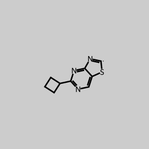 [c]1nc2nc(C3CCC3)ncc2s1